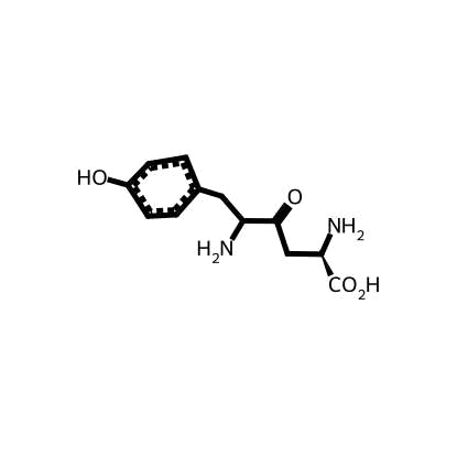 NC(Cc1ccc(O)cc1)C(=O)C[C@@H](N)C(=O)O